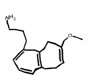 COC1=CCc2cccc(CCN)c2C1